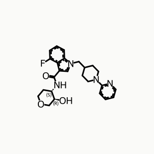 O=C(N[C@H]1CCOC[C@@H]1O)c1cn(CC2CCN(c3ccccn3)CC2)c2cccc(F)c12